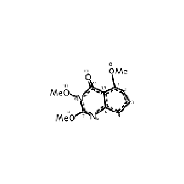 COc1cccc2nc(OC)n(OC)c(=O)c12